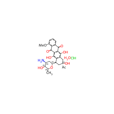 COc1cccc2c1C(=O)c1c(O)c3c(c(O)c1C2=O)C[C@](O)(C(C)=O)CC3[C@@H]1C[C@H](N)[C@H](O)[C@H](C)O1.Cl.O